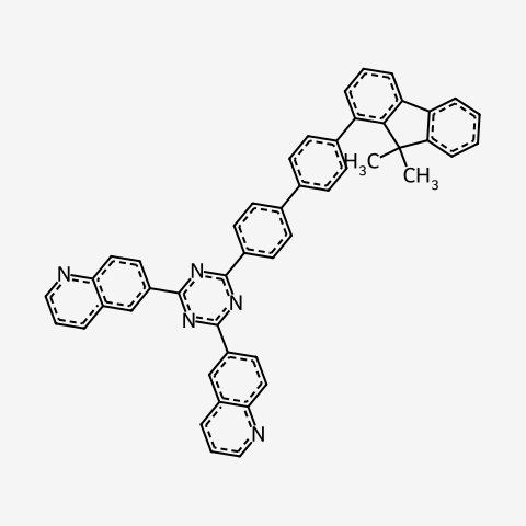 CC1(C)c2ccccc2-c2cccc(-c3ccc(-c4ccc(-c5nc(-c6ccc7ncccc7c6)nc(-c6ccc7ncccc7c6)n5)cc4)cc3)c21